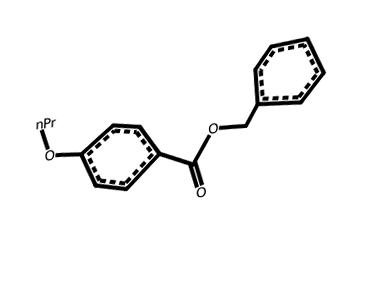 CCCOc1ccc(C(=O)OCc2ccccc2)cc1